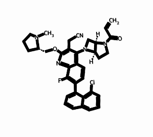 C=CC(=O)N1CC[C@@H]2[C@H]1CN2c1c(CC#N)c(OC[C@@H]2CCCN2C)nc2c(F)c(-c3cccc4cccc(Cl)c34)ccc12